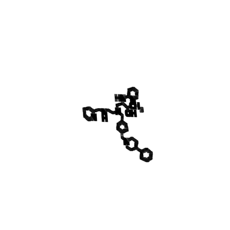 CC(O)C(CN(CCNCc1ccccn1)Cc1ccc(CN2CC=C(c3ccccc3)CC2)cc1)Nc1ccccn1